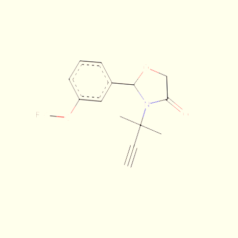 C#CC(C)(C)N1C(=O)[CH]OC1c1cccc(OC(F)(F)F)c1